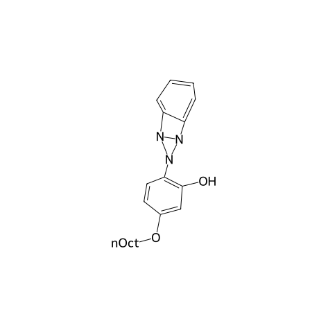 CCCCCCCCOc1ccc(-n2n3c4ccccc4n23)c(O)c1